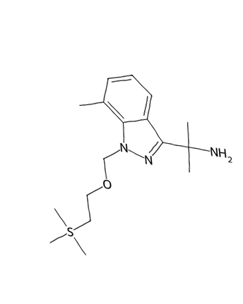 Cc1cccc2c(C(C)(C)N)nn(COCCS(C)(C)C)c12